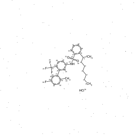 CCCCCCC(C)c1cccnc1S(=O)(=O)Nc1ccc(C(F)(F)F)c(-c2cc(F)ccc2C)n1.Cl